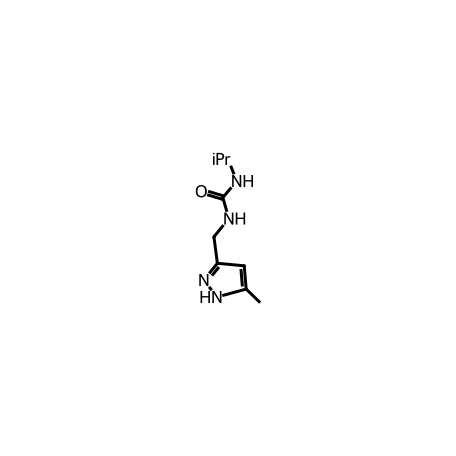 Cc1cc(CNC(=O)NC(C)C)n[nH]1